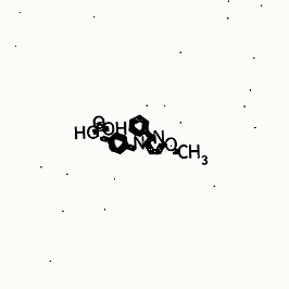 CCOc1ccc2c(n1)c1ccccc1n2Cc1ccc(CP(=O)(O)O)cc1